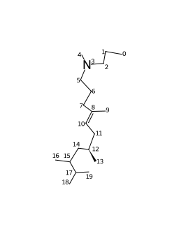 CCCN(C)CCC/C(C)=C/C[C@@H](C)CC(C)C(C)C